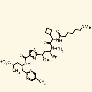 CNCCCCCC(=O)N[C@H](C(=O)N(C)[C@H](C[C@@H](OC(C)=O)c1nc(C(=O)N[C@@H](Cc2ncc(C(F)(F)F)cn2)C[C@H](C)C(=O)O)cs1)C(C)C)C1CCC1